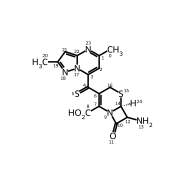 Cc1cc(C(=S)C2=C(C(=O)O)N3C(=O)C(N)[C@@H]3SC2)n2nc(C)cc2n1